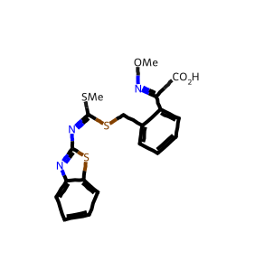 CON=C(C(=O)O)c1ccccc1CSC(=Nc1nc2ccccc2s1)SC